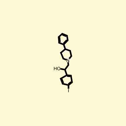 OC(CN1CCC(c2ccccc2)CC1)c1ccc(I)cc1